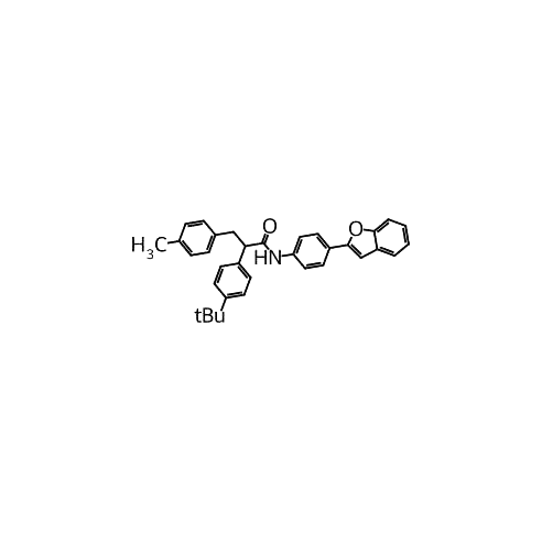 Cc1ccc(CC(C(=O)Nc2ccc(-c3cc4ccccc4o3)cc2)c2ccc(C(C)(C)C)cc2)cc1